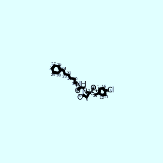 O=C(CN1C(=O)CC1[S+]([O-])Cc1ccc(Cl)cc1)NCCCCCCc1ccccc1